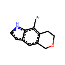 CC(C)c1c2c(cc3cc[nH]c13)COCC2